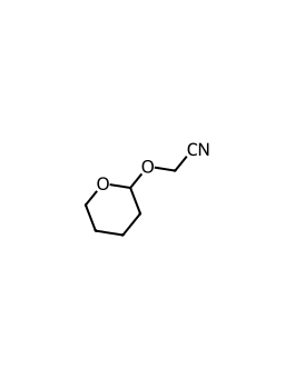 N#CCOC1CCCCO1